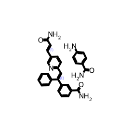 NC(=O)/C=C/c1ccc(/C=C(\c2ccccc2)c2cccc(C(N)=O)c2)nc1.NC(=O)c1ccc(N)cc1